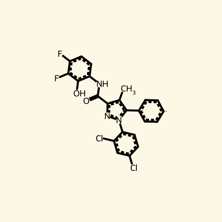 Cc1c(C(=O)Nc2ccc(F)c(F)c2O)nn(-c2ccc(Cl)cc2Cl)c1-c1cc[c]cc1